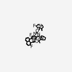 C#Cc1c(F)ccc2cccc(-c3nc4c5c(nc(OCC67CC(F)CN6CCC7=C)nc5c3F)N3CC5CCC(C3C(C)O4)N5C(=O)O)c12